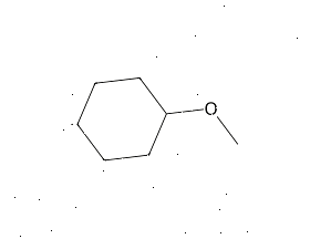 COC1CC[CH]CC1